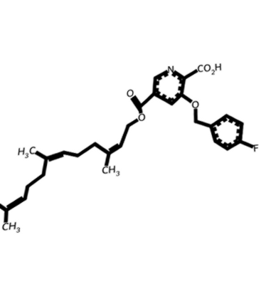 CC(C)=CCCC(C)=CCCC(C)=CCOC(=O)c1cnc(C(=O)O)c(OCc2ccc(F)cc2)c1